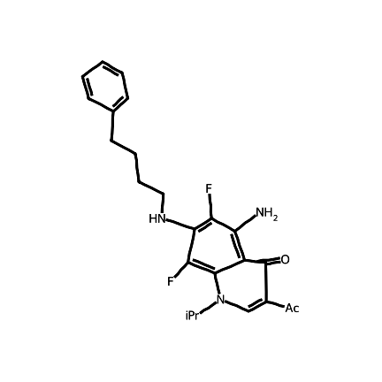 CC(=O)c1cn(C(C)C)c2c(F)c(NCCCCc3ccccc3)c(F)c(N)c2c1=O